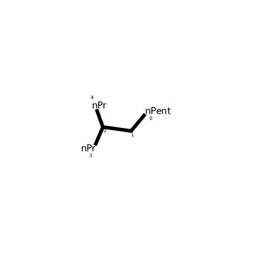 [CH2]CCCCCC(CCC)CCC